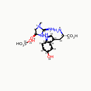 CN1CC(=O)NC1=N.N[C@@H](Cc1c[nH]c2ccc(O)cc12)C(=O)O.O=S(=O)(O)O